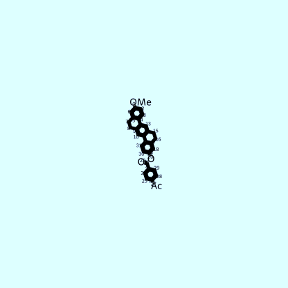 COc1ccc2c(c1)CCc1cc3c(cc1-2)CCc1cc(OC(=O)c2ccc(C(C)=O)cc2)ccc1-3